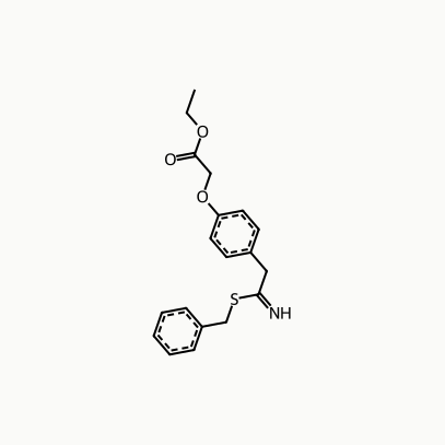 CCOC(=O)COc1ccc(CC(=N)SCc2ccccc2)cc1